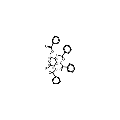 O=C(OC[C@H]1O[C@H](Br)[C@@H](OC(=O)c2ccccc2)[C@@H](OC(=O)c2ccccc2)[C@@H]1OC(=O)c1ccccc1)c1ccccc1